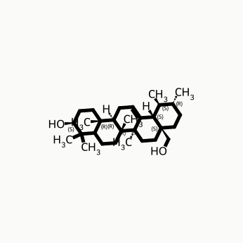 C[C@H]1[C@H](C)CC[C@]2(CO)CC[C@]3(C)C(=CC[C@@H]4[C@@]5(C)CC[C@H](O)C(C)(C)C5CC[C@]43C)[C@H]12